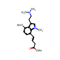 COC(=O)C/C=C/c1ccc(OC)c2c(CCN(C)C)cn(C)c12